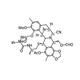 COCOc1c(OC)c(C)cc2c1[C@@H]1C3[C@H](SC[C@@H](C)NC(=O)C(N)C(C)C)c4c(OC(C)=O)c(C)c5c(c4[C@H](COC=O)N3[C@@H](C#N)[C@H](C2)N1C)OCO5